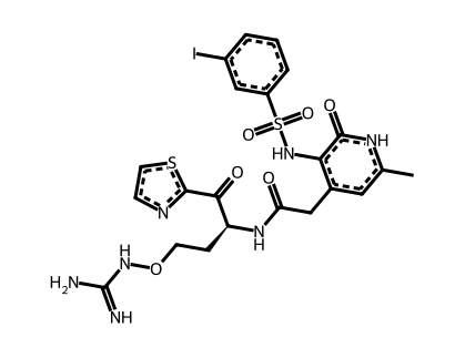 Cc1cc(CC(=O)N[C@@H](CCONC(=N)N)C(=O)c2nccs2)c(NS(=O)(=O)c2cccc(I)c2)c(=O)[nH]1